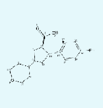 O=C(O)[C@@H]1CN(C2CCOCC2)C[C@H]1c1ccc(F)cn1